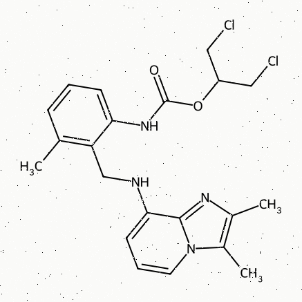 Cc1cccc(NC(=O)OC(CCl)CCl)c1CNc1cccn2c(C)c(C)nc12